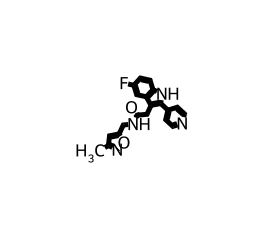 Cc1cc(CNC(=O)Cc2c(-c3ccncc3)[nH]c3ccc(F)cc23)on1